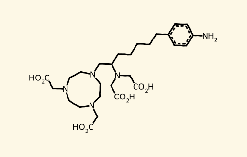 Nc1ccc(CCCCCC(CN2CCN(CC(=O)O)CCN(CC(=O)O)CC2)N(CC(=O)O)CC(=O)O)cc1